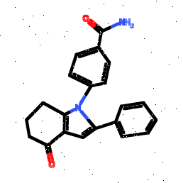 NC(=O)c1ccc(-n2c(-c3ccccc3)cc3c2CCCC3=O)cc1